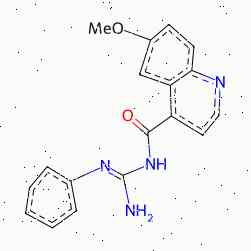 COc1ccc2nccc(C(=O)NC(N)=Nc3ccccc3)c2c1